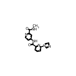 CNC(=O)c1cc(NC(=O)c2cccc(-n3ccnc3)n2)ccn1